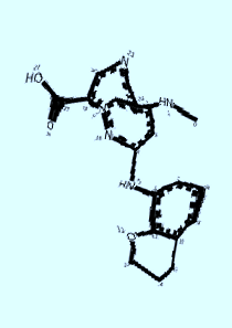 CNc1cc(Nc2cccc3c2OCCC3)nn2c(C(=O)O)cnc12